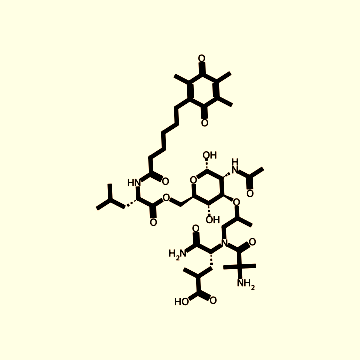 CC(=O)N[C@@H]1[C@@H](OC(C)CN(C(=O)C(C)(C)N)[C@H](CC(C)C(=O)O)C(N)=O)[C@H](O)[C@@H](COC(=O)[C@H](CC(C)C)NC(=O)CCCCCC2=C(C)C(=O)C(C)=C(C)C2=O)O[C@@H]1O